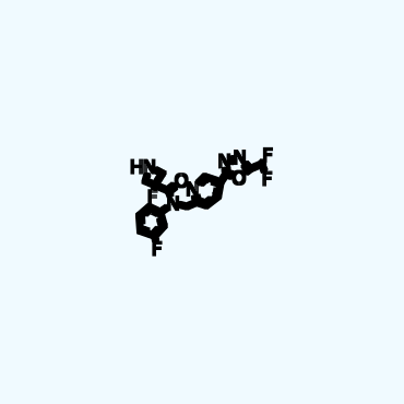 O=C(N(Cc1ccc(-c2nnc(C(F)F)o2)cn1)c1cccc(F)c1)C1(F)CNC1